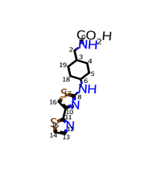 O=C(O)NCC1CCC(Nc2nc(-c3nccs3)cs2)CC1